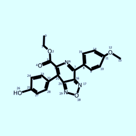 CCOC(=O)c1nc(-c2ccc(OC)cc2)c2nonc2c1-c1ccc(O)cc1